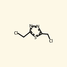 ClCc1nnc(CCl)s1